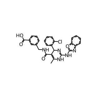 CC1=C(C(=O)NCc2cccc(C(=O)O)c2)C(c2ccccc2Cl)N=C(Nc2nc3ccccc3o2)N1